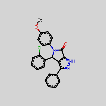 CCOc1ccc(N2C(=O)c3[nH]nc(-c4ccccc4)c3C2c2ccccc2Cl)cc1